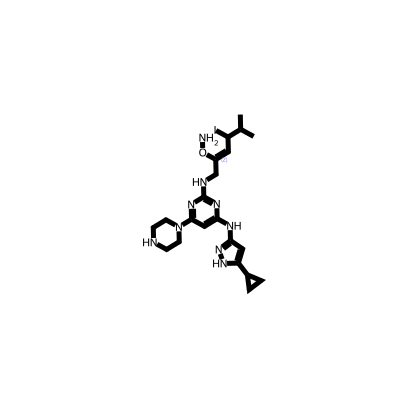 CC(C)C(I)/C=C(/CNc1nc(Nc2cc(C3CC3)[nH]n2)cc(N2CCNCC2)n1)ON